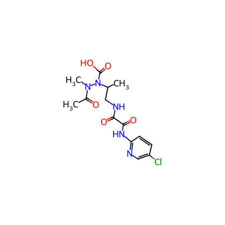 CC(=O)N(C)N(C(=O)O)C(C)CNC(=O)C(=O)Nc1ccc(Cl)cn1